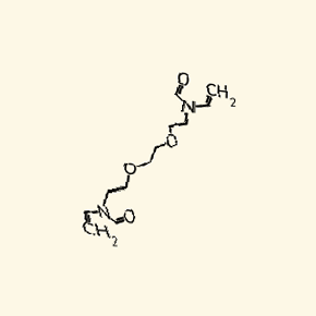 C=CN(C=O)CCOCCOCCN(C=C)C=O